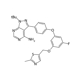 Cc1ncc(COc2cc(F)cc(Oc3ccc(-c4nn(C(C)(C)C)c5ncnc(N)c45)cc3)c2)s1